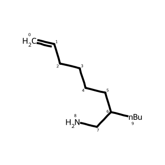 C=CCCCCC(CN)CCCC